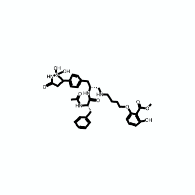 COC(=O)c1c(O)cccc1OCCCCNC[C@@H](Cc1ccc(C2CC(=O)NS2(O)O)cc1)NC(=O)[C@H](Cc1ccccc1)NC(C)=O